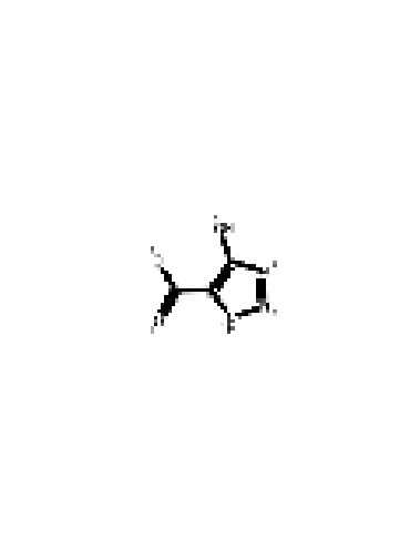 O=C(O)c1[nH]nnc1O